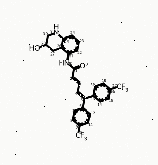 O=C(/C=C/C=C(c1ccc(C(F)(F)F)cc1)c1ccc(C(F)(F)F)cc1)Nc1cccc2c1CC(O)CN2